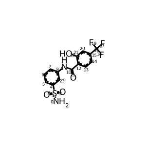 NS(=O)(=O)c1cccc(NC(=O)c2ccc(C(F)(F)F)cc2O)c1